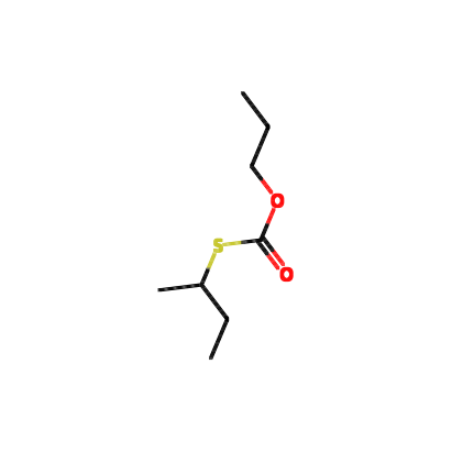 CCCOC(=O)SC(C)CC